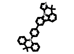 CC1(C)c2ccccc2N(c2ccc(-c3ccc4c(c3)c3cccc5c3n4-c3ccsc3C5(C)C)cc2)c2ccccc21